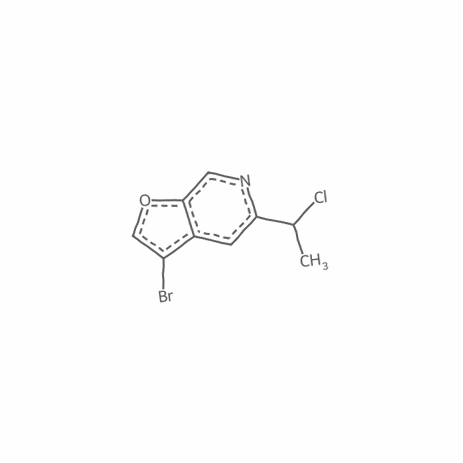 CC(Cl)c1cc2c(Br)coc2cn1